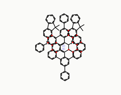 CCCC(/C(c1c(-c2ccccc2)cc(-c2ccccc2)cc1-c1ccccc1)=c1/cc(N(c2ccccc2)c2ccc3c(c2)C(C)(C)c2ccccc2-3)cc/c1=C(/CC)c1c(-c2ccccc2)cc(-c2ccccc2)cc1-c1ccccc1)N(c1ccccc1)c1ccc2c(c1)C(C)(C)c1ccccc1-2